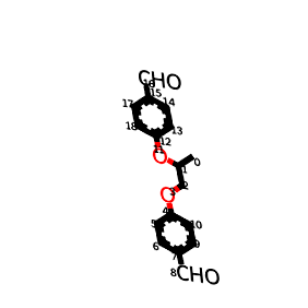 CC(COc1ccc(C=O)cc1)Oc1ccc(C=O)cc1